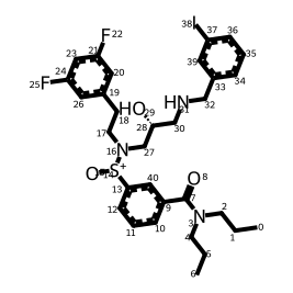 CCCN(CCC)C(=O)c1cccc([S+]([O-])N(CCc2cc(F)cc(F)c2)C[C@H](O)CNCc2cccc(I)c2)c1